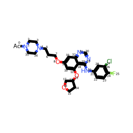 CC(=O)N1CCN(CCCOc2cc(OC3CCOC3)c3c(Nc4ccc(F)c(Cl)c4)ncnc3c2)CC1